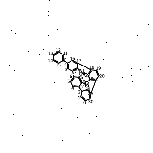 C1=CC2c3ccc4c5cc(-c6ccccc6)cc6c7ccc8c9c7n(c4c3B9C2C8=C1)c65